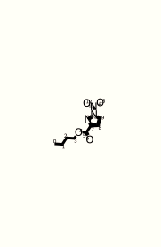 CCCCOC(=O)c1ccn([N+](=O)[O-])n1